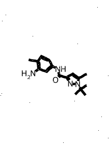 Cc1ccc(NC(=O)c2cc(C)n(C(C)(C)C)n2)cc1N